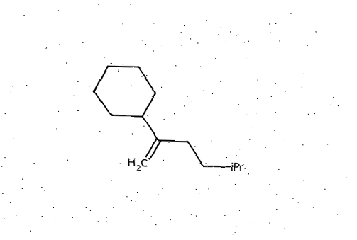 C=C(CCC(C)C)C1CCCCC1